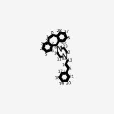 C1=Cc2ccccc2C(N2CCN(C/C=C/c3ccccc3)CC2)c2ccccc21